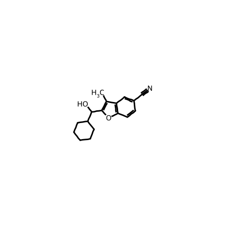 Cc1c(C(O)C2CCCCC2)oc2ccc(C#N)cc12